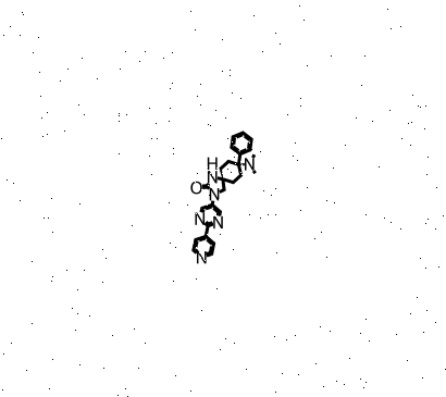 CN(C)[C@]1(c2ccccc2)CC[C@@]2(CC1)CN(c1cnc(-c3ccncc3)nc1)C(=O)N2